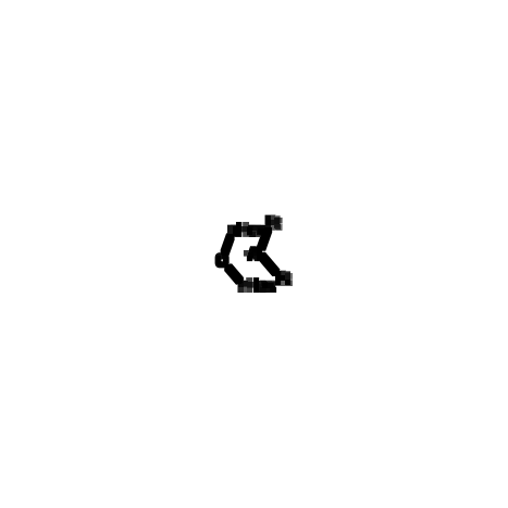 CCCCCCOCCCCCC.C[CH2][Al][CH2]C